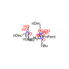 CCCCC=CCC(=O)N(CC(O)CO)CC(CC)CCCCCCCCCCCC.CCCCC=CCC(=O)[N+](CCCCCCCCCCCCCCCC)(CC(O)CO)C(C)(CC=CCCCCC)C(=O)N(CCCCCCCCCCCCCCCC)CC(O)CO